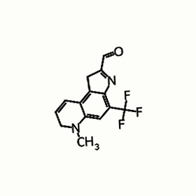 CN1CC=Cc2c1cc(C(F)(F)F)c1c2CC(C=O)=N1